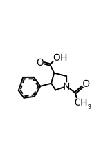 CC(=O)N1CC(C(=O)O)C(c2ccccc2)C1